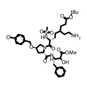 COC(=O)C(O)[C@H](Cc1ccccc1)NC(=O)[C@@H]1C[C@@H](OCc2ccc(Cl)cc2)CN1C(=O)[C@@H](CCC(CCN)CCC(=O)OC(C)(C)C)NS(C)(=O)=O